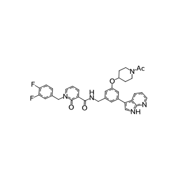 CC(=O)N1CCC(Oc2cc(CNC(=O)c3cccn(Cc4ccc(F)c(F)c4)c3=O)cc(-c3c[nH]c4ncccc34)c2)CC1